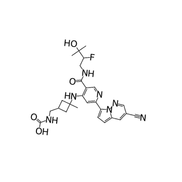 CC1(Nc2cc(-c3ccc4cc(C#N)cnn34)ncc2C(=O)NCC(F)C(C)(C)O)CC(CNC(=O)O)C1